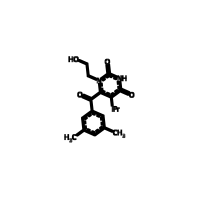 Cc1cc(C)cc(C(=O)c2c(C(C)C)c(=O)[nH]c(=O)n2CCO)c1